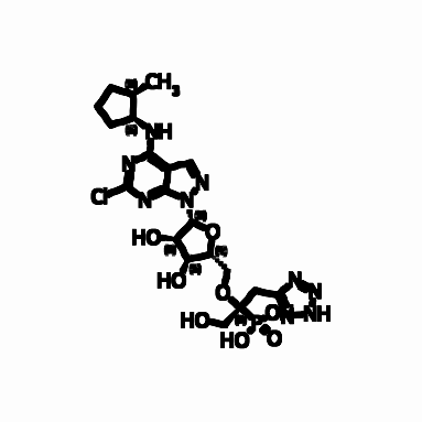 C[C@@H]1CCC[C@@H]1Nc1nc(Cl)nc2c1cnn2[C@@H]1O[C@H](CO[C@](CO)(Cc2nn[nH]n2)P(=O)(O)O)[C@@H](O)[C@H]1O